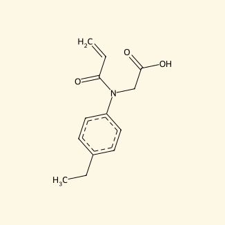 C=CC(=O)N(CC(=O)O)c1ccc(CC)cc1